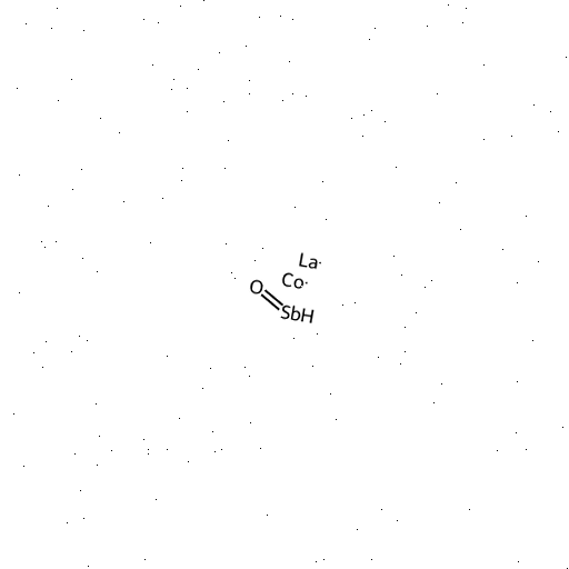 [Co].[La].[O]=[SbH]